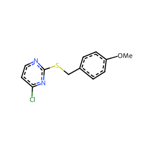 COc1ccc(CSc2nccc(Cl)n2)cc1